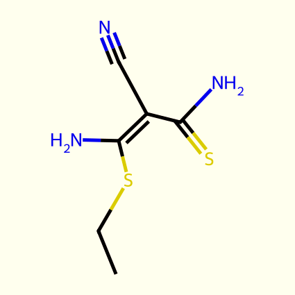 CCSC(N)=C(C#N)C(N)=S